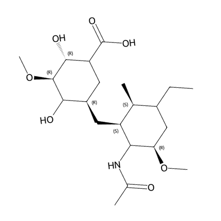 CCC1C[C@@H](OC)C(NC(C)=O)[C@@H](C[C@@H]2CC(C(=O)O)[C@@H](O)[C@H](OC)C2O)[C@H]1C